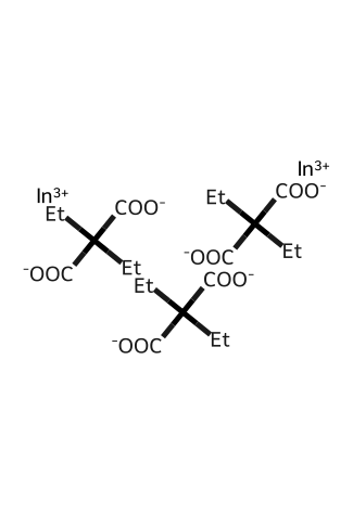 CCC(CC)(C(=O)[O-])C(=O)[O-].CCC(CC)(C(=O)[O-])C(=O)[O-].CCC(CC)(C(=O)[O-])C(=O)[O-].[In+3].[In+3]